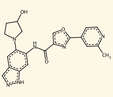 Cc1cc(-c2nc(C(=O)Nc3cc4[nH]ncc4cc3N3CCC(O)C3)co2)ccn1